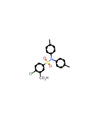 Cc1ccc(N(c2ccc(C)cc2)S(=O)(=O)c2ccc(Cl)c(C(=O)O)c2)cc1